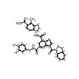 Cc1c(C(=O)O)ccc2c1CC[C@@H]2NC(=O)c1cc(C(=O)NCc2ccc(F)c(F)c2)nc2c(C(=O)N3CCc4ccccc43)cnn12